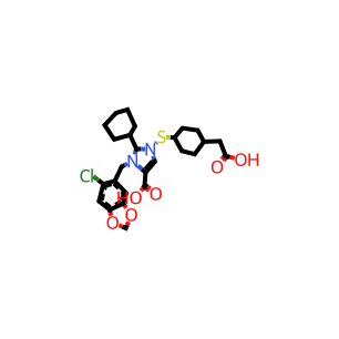 O=C(O)CC1CCC(SN2C=C(C(=O)O)N(Cc3cc4c(cc3Cl)OCO4)C2C2CCCCC2)CC1